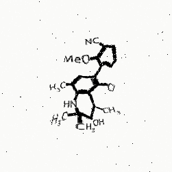 COc1c(C#N)cccc1-c1cc(C)c2c(c1Cl)[C@@H](C)[C@@H](O)C(C)(C)N2